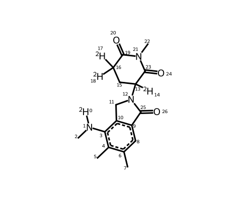 [2H]N(C)c1c(C)c(C)cc2c1CN(C1([2H])CC([2H])([2H])C(=O)N(C)C1=O)C2=O